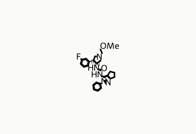 COCCN1C[C@H](NC(=O)Nc2c3c(nn2-c2ccccc2)CCC3)[C@@H](c2cccc(F)c2)C1